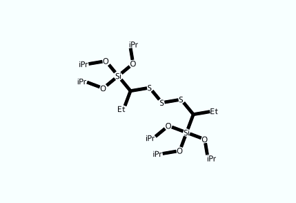 CCC(SSSC(CC)[Si](OC(C)C)(OC(C)C)OC(C)C)[Si](OC(C)C)(OC(C)C)OC(C)C